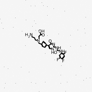 NCCCN(CCC(=O)O)Cc1ccc(-c2c[nH]c(NC(=O)Nc3cc(F)c(F)cc3F)nc2=O)cc1